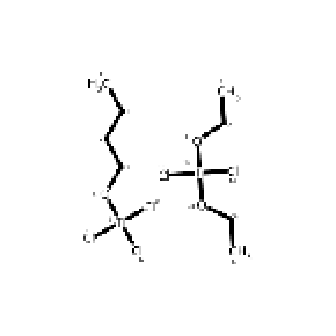 CCCC[O][Ti]([Cl])([Cl])[Cl].CC[O][Ti]([Cl])([Cl])[O]CC